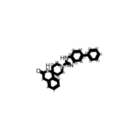 O=C1Cc2ccccc2C2(CCN(c3nc4cc(-c5ccccc5)ccc4[nH]3)CC2)N1